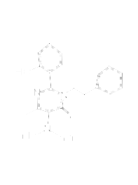 CCCN(CCC)c1c(C)nc(-c2ccccc2O)n(CCc2ccccc2)c1=O